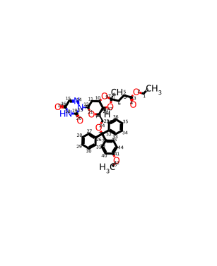 CCOC(=O)CC[C@@]1(C)OC2C[C@H](n3ncc(=O)[nH]c3=O)O[C@H](COC(c3ccccc3)(c3ccccc3)c3ccc(OC)cc3)[C@H]2O1